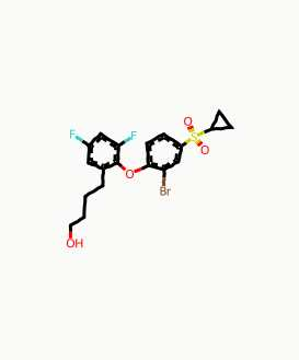 O=S(=O)(c1ccc(Oc2c(F)cc(F)cc2CCCCO)c(Br)c1)C1CC1